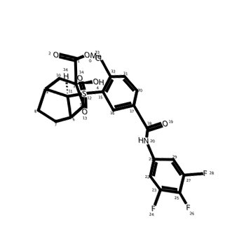 COC(=O)[C@]1(O)CC2CCC(C1)[C@H]2S(=O)(=O)c1cc(C(=O)Nc2cc(F)c(F)c(F)c2)ccc1Cl